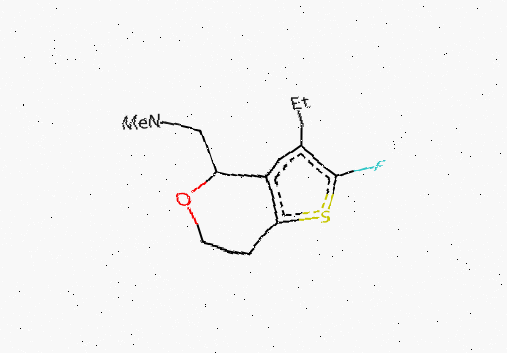 CCc1c(F)sc2c1C(CNC)OCC2